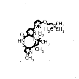 Cn1cc2c(n1)[C@@]1(C)CN(c3nc(-n4ccc(OCC[Si](C)(C)C)n4)ccc3C(=O)NS2)C(C)(C)C1